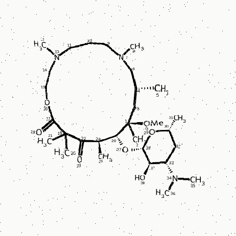 CO[C@]1(C)C[C@@H](C)CN(C)CCCN(C)CCOC(=O)C(C)(C)C(=O)[C@H](C)[C@H]1O[C@@H]1O[C@H](C)C[C@H](N(C)C)[C@H]1O